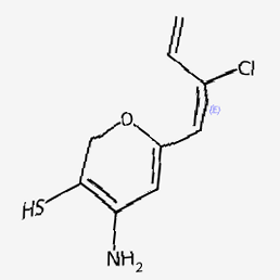 C=C/C(Cl)=C\C1=CC(N)=C(S)CO1